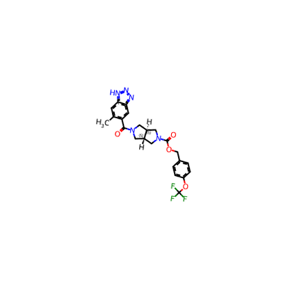 Cc1cc2[nH]nnc2cc1C(=O)N1C[C@H]2CN(C(=O)OCc3ccc(OC(F)(F)F)cc3)C[C@@H]2C1